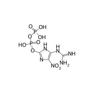 N=C(N)Nc1[nH]c(OP(=O)(O)OP(=O)(O)O)nc1[N+](=O)[O-]